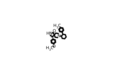 COc1ccc([C@H]2CNC(=O)C23CCN(C2CCCCC2c2ccc(C)cc2)CC3)cc1